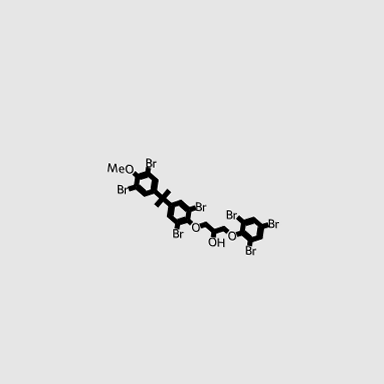 COc1c(Br)cc(C(C)(C)c2cc(Br)c(OCC(O)COc3c(Br)cc(Br)cc3Br)c(Br)c2)cc1Br